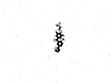 COc1ccc(-c2ccco2)cc1C(=O)c1cc(C)c(OCCN(C)C)c(C)c1